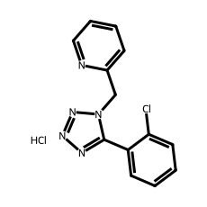 Cl.Clc1ccccc1-c1nnnn1Cc1ccccn1